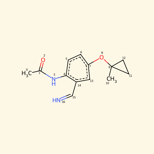 CC(=O)Nc1ccc(OC2(C)CC2)cc1C=N